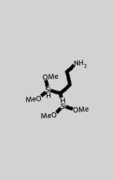 CO[SiH](OC)C(CCN)[SiH](OC)OC